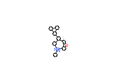 c1ccc(-c2nc3nc(n2)c2cccc4oc5ccc(cc5c42)c2ccc(-c4ccc5c6ccccc6c6ccccc6c5c4)cc2c2cccc3c2)cc1